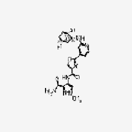 Cn1cc(NC(=O)c2coc(-c3ccnc(N[C@@H]4C[C@H]5CC[C@@H]4O5)c3)n2)c(C(N)=O)n1